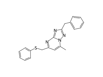 Cc1cc(CSc2ccccc2)nc2nc(Cc3ccccc3)nn12